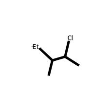 C[CH]C(C)C(C)Cl